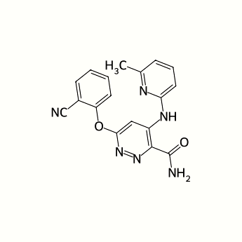 Cc1cccc(Nc2cc(Oc3ccccc3C#N)nnc2C(N)=O)n1